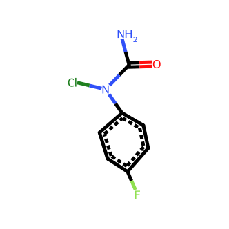 NC(=O)N(Cl)c1ccc(F)cc1